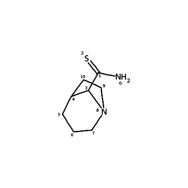 NC(=S)C1C2CCCN1CC2